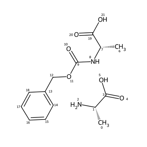 C[C@H](N)C(=O)O.C[C@H](NC(=O)OCc1ccccc1)C(=O)O